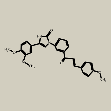 COc1ccc(C=CC(=O)c2cccc(-n3cc(-c4ccc(OC)c(OC)c4)[nH]c3=O)c2)cc1